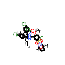 CC(C)Oc1cc(Cl)c(S(=O)(=O)N2C[C@H]3CC[C@@H](C2)O3)cc1C1=NC(C)(c2ccc(Cl)cc2)C(C)(c2ccc(Cl)cc2)N1C(=O)Cl